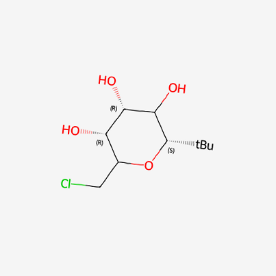 CC(C)(C)[C@@H]1OC(CCl)[C@H](O)[C@H](O)C1O